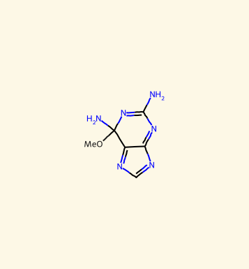 COC1(N)N=C(N)N=C2N=CN=C21